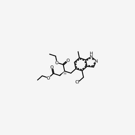 CCOC(=O)C[C@H](Cc1cc(C)c2[nH]ncc2c1CCl)C(=O)OCC